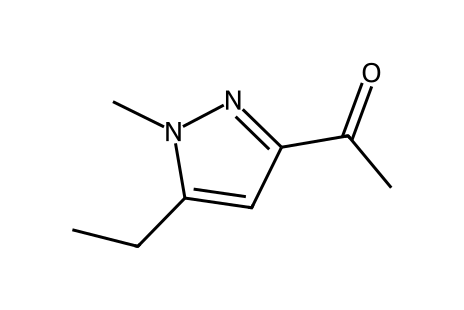 CCc1cc(C(C)=O)nn1C